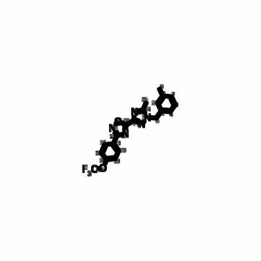 Cc1cccc(Cn2nc(-c3nc(-c4ccc(OC(F)(F)F)cc4)no3)nc2C)c1